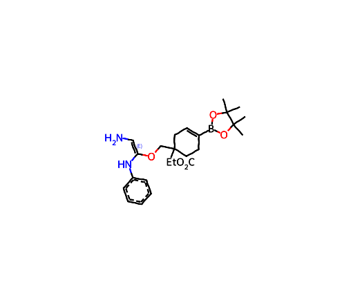 CCOC(=O)C1(CO/C(=C/N)Nc2ccccc2)CC=C(B2OC(C)(C)C(C)(C)O2)CC1